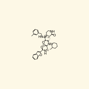 Cc1cccc(CNC(=O)C(=O)[C@H](C[C@@H]2CCCNC2=O)NC(=O)[C@H](CC2CCCCC2)NC(=O)c2cc3ccccc3o2)c1